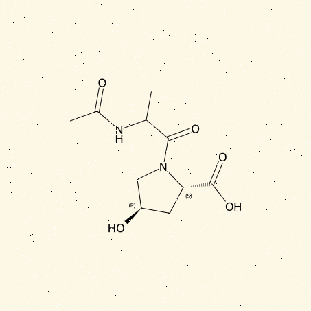 CC(=O)NC(C)C(=O)N1C[C@H](O)C[C@H]1C(=O)O